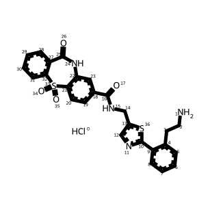 Cl.NCCc1ccccc1-c1ncc(CNC(=O)c2ccc3c(c2)NC(=O)c2ccccc2S3(=O)=O)s1